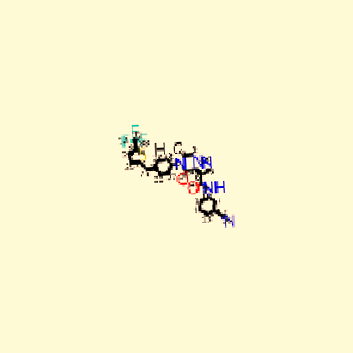 CC1Cn2ncc(C(=O)Nc3cccc(C#N)c3)c2C(=O)N1c1ccc(Cc2ccc(C(F)(F)F)s2)cc1